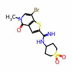 Cn1cc(Br)c2sc(C(=N)NC3CCS(=O)(=O)CC3)cc2c1=O